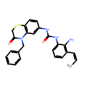 C/C=C\c1cccc(NC(=O)Nc2ccc3c(c2)N(Cc2ccccc2)C(=O)CS3)c1N